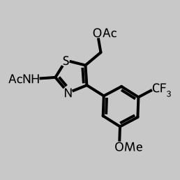 COc1cc(-c2nc(NC(C)=O)sc2COC(C)=O)cc(C(F)(F)F)c1